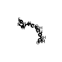 N#Cc1cnn2cc(-c3cnn(C4CCN(C(=O)CC5(O)CCN(c6ccc(NC7CCC(=O)NC7=O)cc6F)CC5)CC4)c3)nc(-c3ccc(F)nc3)c12